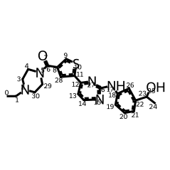 CCN1CCN(C(=O)c2csc(-c3ccnc(Nc4cccc(C(C)O)c4)n3)c2)CC1